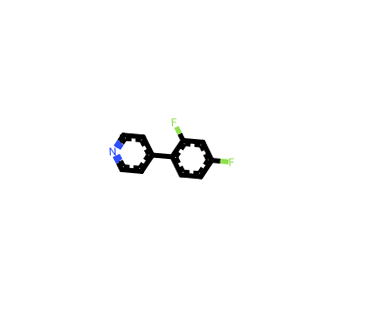 Fc1ccc(-c2c[c]ncc2)c(F)c1